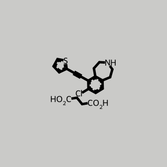 Clc1ccc2c(c1C#Cc1cccs1)CCNCC2.O=C(O)CCC(=O)O